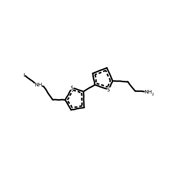 NCCc1ccc(-c2ccc(CCNI)s2)s1